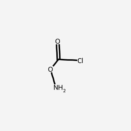 NOC(=O)Cl